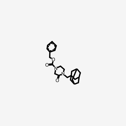 O=C1CN(C(=O)OCc2ccccc2)CCN1CC12CC3CC(CC(C3)C1)C2